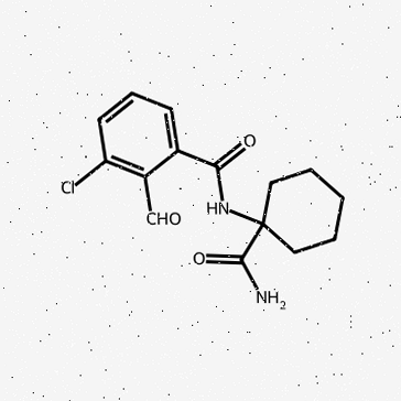 NC(=O)C1(NC(=O)c2cccc(Cl)c2C=O)CCCCC1